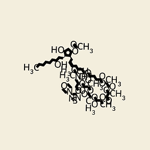 CCCCCC[C@@H](O)CC[C@H]1[C@H](C/C=C\CCCC(=O)OC(=O)CCC(=O)OC(C)C(=O)OC(C)C(=O)OC(C)C(=O)OC(C)C(=O)OC(C)C(=O)OC(CNC(C)(C)C)COc2nsnc2N2CCOCC2)[C@H](OC(C)=O)C[C@@H]1O